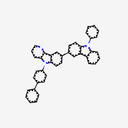 c1ccc(-c2ccc(-n3c4ccc(-c5ccc6c(c5)c5ccccc5n6-c5ccccc5)cc4c4ncccc43)cc2)cc1